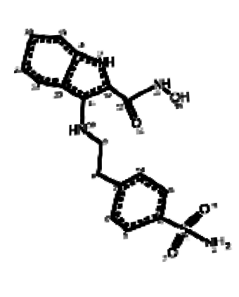 NS(=O)(=O)c1ccc(CCNc2c(C(=O)NO)[nH]c3ccccc23)cc1